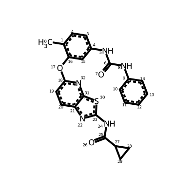 Cc1ccc(NC(=O)Nc2ccccc2)cc1Oc1ccc2nc(NC(=O)C3CC3)sc2n1